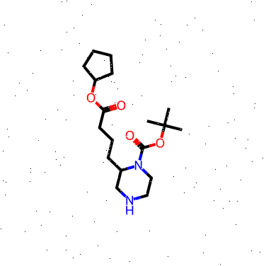 CC(C)(C)OC(=O)N1CCNCC1CCCC(=O)OC1CCCC1